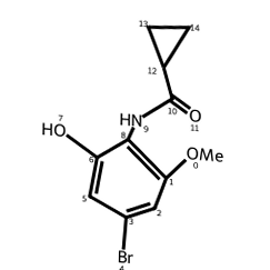 COc1cc(Br)cc(O)c1NC(=O)C1CC1